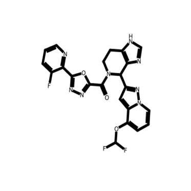 O=C(c1nnc(-c2ncccc2F)o1)N1CCc2[nH]cnc2C1c1cc2c(OC(F)F)cccn2n1